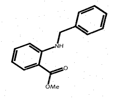 COC(=O)c1ccccc1NCc1ccccc1